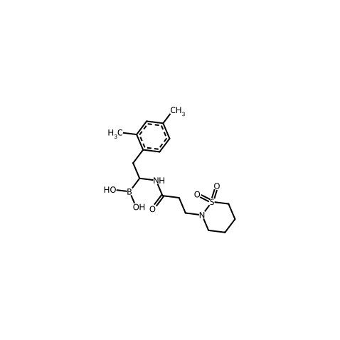 Cc1ccc(CC(NC(=O)CCN2CCCCS2(=O)=O)B(O)O)c(C)c1